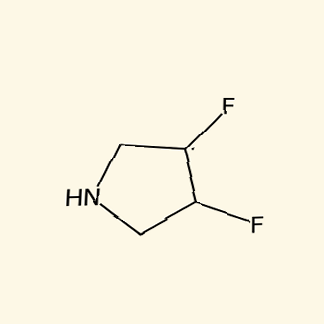 F[C]1CNCC1F